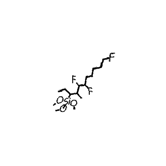 CCC(C(C)C(F)C(F)CCCCCF)[Si](OC)(OC)OC